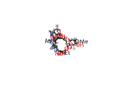 CC[C@H]1OC(=O)[C@H](C)[C@@H](O[C@H]2C[C@@](C)(OC)[C@@H](O)[C@H](C)O2)[C@H](C)[C@@H](O[C@@H]2O[C@H](C)C[C@H](N(C)C)[C@H]2OC(=O)C2CSC(C)N2C(C)=O)[C@](C)(O)C[C@@H](C)CN(C)[C@H](C)[C@@H](O)[C@]1(C)O